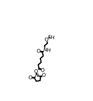 O=C(CCCCC(=O)ON1C(=O)CCC1=O)NCCOS